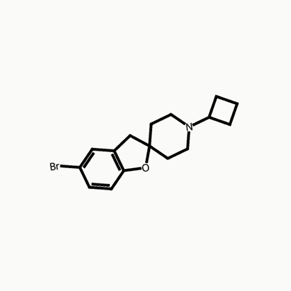 Brc1ccc2c(c1)CC1(CCN(C3CCC3)CC1)O2